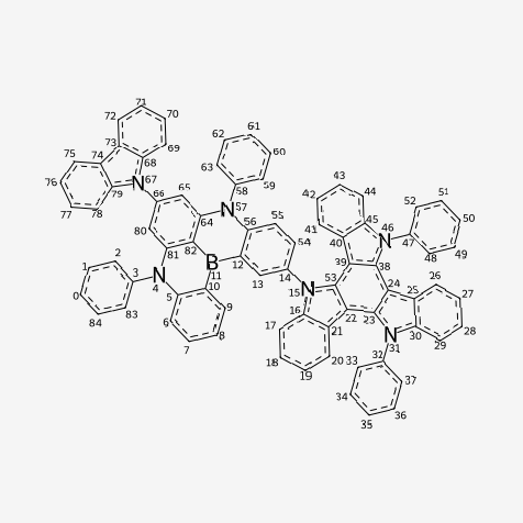 c1ccc(N2c3ccccc3B3c4cc(-n5c6ccccc6c6c7c(c8ccccc8n7-c7ccccc7)c7c(c8ccccc8n7-c7ccccc7)c65)ccc4N(c4ccccc4)c4cc(-n5c6ccccc6c6ccccc65)cc2c43)cc1